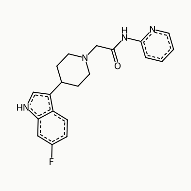 O=C(CN1CCC(c2c[nH]c3cc(F)ccc23)CC1)Nc1ccccn1